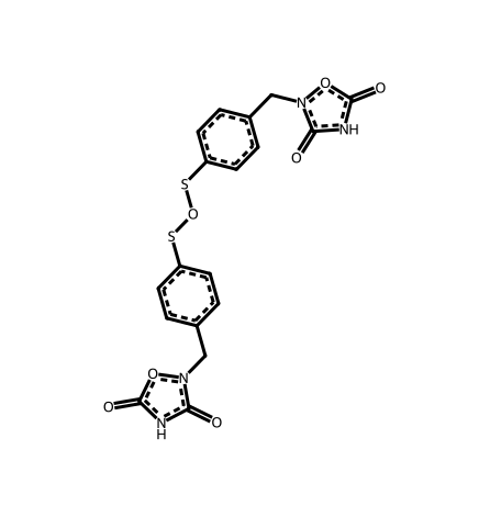 O=c1[nH]c(=O)n(Cc2ccc(SOSc3ccc(Cn4oc(=O)[nH]c4=O)cc3)cc2)o1